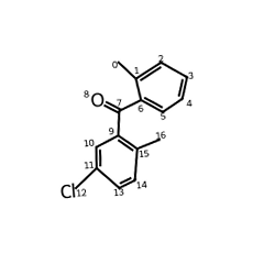 Cc1ccccc1C(=O)c1cc(Cl)ccc1C